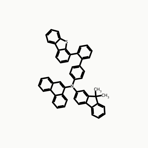 CC1(C)c2ccccc2-c2ccc(N(c3ccc(-c4ccccc4-c4cccc5c4sc4ccccc45)cc3)c3cc4ccccc4c4ccccc34)cc21